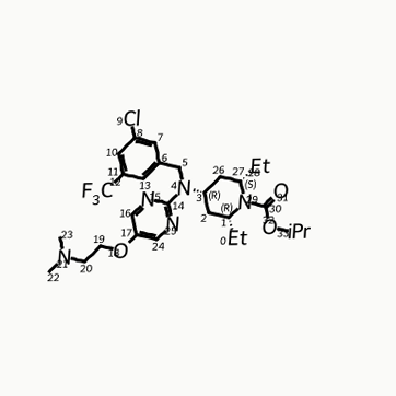 CC[C@@H]1C[C@H](N(Cc2cc(Cl)cc(C(F)(F)F)c2)c2ncc(OCCN(C)C)cn2)C[C@H](CC)N1C(=O)OC(C)C